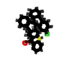 O=c1c2ccccc2sc2cc3c(cc12)-c1ccccc1C31c2ccccc2-c2ccc(Cl)cc21